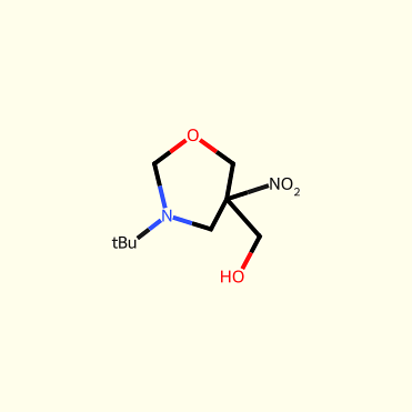 CC(C)(C)N1COCC(CO)([N+](=O)[O-])C1